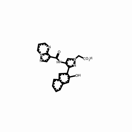 O=C(O)Cn1cc(NC(=O)c2cnn3cccnc23)c(-c2cc3ccccc3cc2O)n1